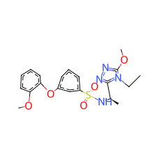 CCn1c(OC)nnc1[C@@H](C)NS(=O)(=O)c1cccc(Oc2ccccc2OC)c1